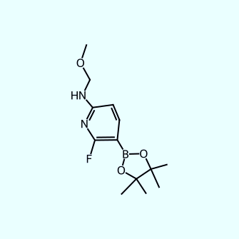 COCNc1ccc(B2OC(C)(C)C(C)(C)O2)c(F)n1